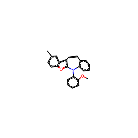 COc1ccccc1N1c2ccccc2C=Cc2c1oc1ccc(C)cc21